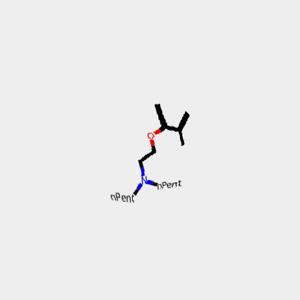 C=C(C)C(=C)OCCN(CCCCC)CCCCC